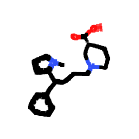 Cn1cccc1C(=CCCN1CCC[C@@H](C(=O)O)C1)c1ccccc1